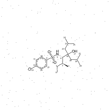 CC[C@H](C)[C@H](NS(=O)(=O)c1ccc(Cl)cc1)C(O)(CC(C)C)CC(C)C